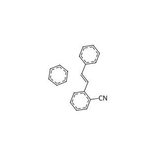 N#Cc1ccccc1C=Cc1ccccc1.c1ccccc1